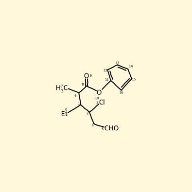 CCC(C(Cl)CC=O)C(C)C(=O)Oc1ccccc1